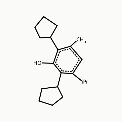 Cc1cc(C(C)C)c(C2CCCC2)c(O)c1C1CCCC1